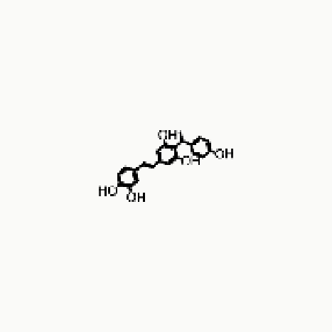 CC(c1ccc(O)cc1)c1c(O)cc(/C=C/c2ccc(O)c(O)c2)cc1O